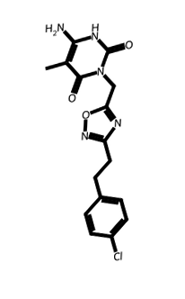 Cc1c(N)[nH]c(=O)n(Cc2nc(CCc3ccc(Cl)cc3)no2)c1=O